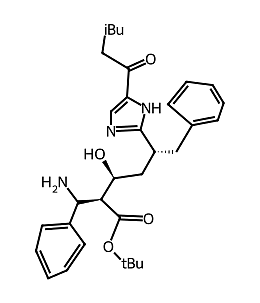 CCC(C)CC(=O)c1cnc([C@H](Cc2ccccc2)C[C@H](O)[C@@H](C(=O)OC(C)(C)C)C(N)c2ccccc2)[nH]1